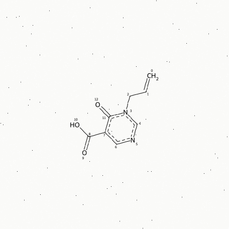 C=CCn1cncc(C(=O)O)c1=O